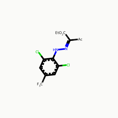 CCOC(=O)/C(=N\Nc1c(Cl)cc(C(F)(F)F)cc1Cl)C(C)=O